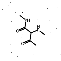 CPC(=O)C(PC)C(C)=O